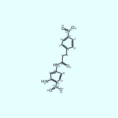 Nc1cc(NC(=O)CCc2ccc([N+](=O)[O-])cc2)ccc1[N+](=O)[O-]